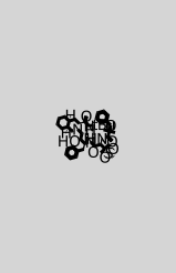 CC(C)(C)NC(=O)[C@@H]1C[C@@H]2CCCC[C@@H]2CN1C[C@@H](O)[C@H](Cc1ccccc1)NC(=O)[C@@H](NC(=O)C(C)(C)Oc1ccccc1)C(C)(C)S(C)(=O)=O